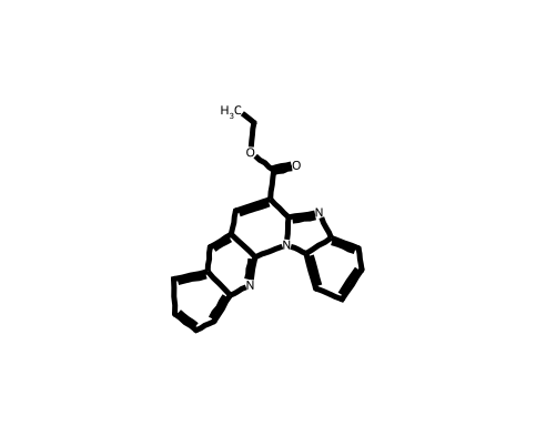 CCOC(=O)c1cc2cc3ccccc3nc2n2c1nc1ccccc12